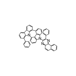 c1ccc(-c2nc3c(ccc4ccccc43)nc2-n2c3cccc4c5cccc6c7cccc(-c8ccccc8)c7n(c7cccc2c7c43)c56)cc1